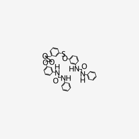 O=C(Nc1ccccc1)Nc1cccc(OSc2cccc(S(=O)(=O)Oc3cccc(NC(=O)Nc4ccccc4)c3)c2)c1